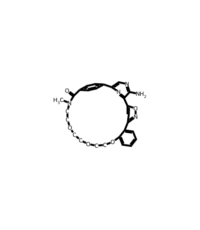 CN1CCOCCOCCOc2ccccc2-c2cc(on2)-c2nc(cnc2N)-c2ccc(cc2)C1=O